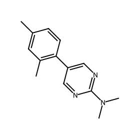 Cc1ccc(-c2cnc(N(C)C)nc2)c(C)c1